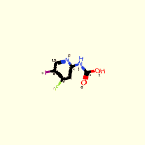 O=C(O)Nc1cc(F)c(I)cn1